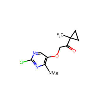 CNc1nc(Cl)ncc1OCC(=O)C1(C(F)(F)F)CC1